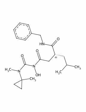 CC(C)C[C@H](CC(=O)N(O)C(=O)N(C)C1(C)CC1)C(=O)NCc1ccccc1